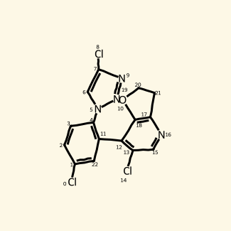 Clc1ccc(-n2cc(Cl)nn2)c(-c2c(Cl)cnc3c2OCC3)c1